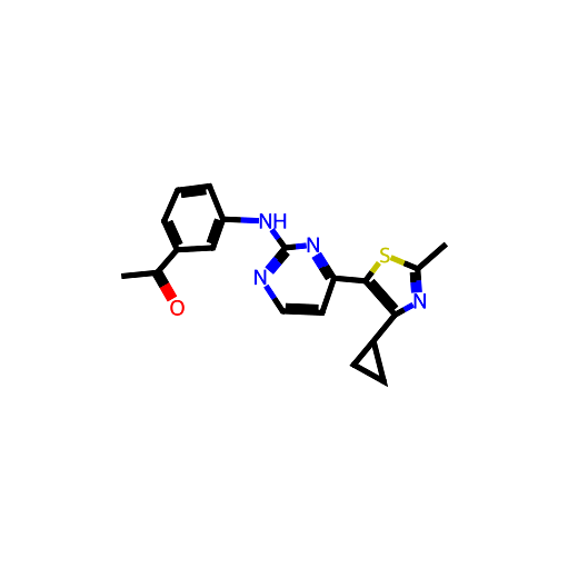 CC(=O)c1cccc(Nc2nccc(-c3sc(C)nc3C3CC3)n2)c1